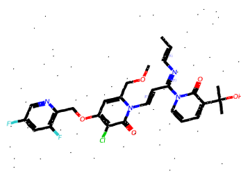 C/C=C/N=C(\C=C\n1c(COC)cc(OCc2ncc(F)cc2F)c(Cl)c1=O)n1cccc(C(C)(C)O)c1=O